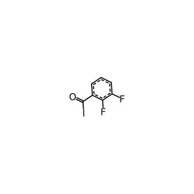 O=C(I)c1cccc(F)c1F